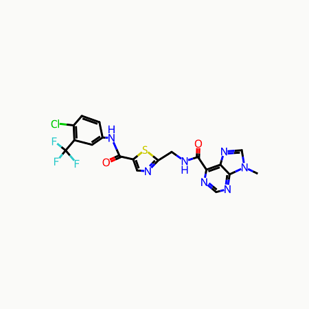 Cn1cnc2c(C(=O)NCc3ncc(C(=O)Nc4ccc(Cl)c(C(F)(F)F)c4)s3)ncnc21